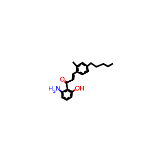 CCCCCc1ccc(C=CC(=O)c2c(N)cccc2O)c(C)c1